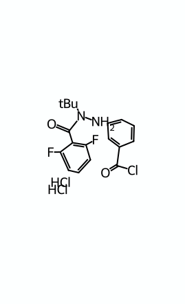 CC(C)(C)N(N)C(=O)c1c(F)cccc1F.Cl.Cl.O=C(Cl)c1ccccc1